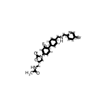 CC(=O)NC[C@H]1CN(c2ccc(-c3ccc(CNCc4ccc(Br)cn4)cc3)c(F)c2)C(=O)O1